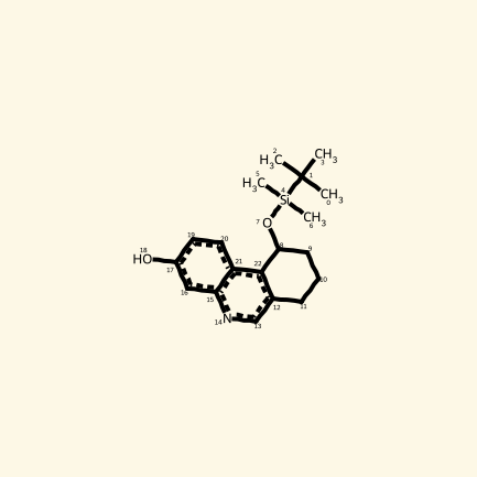 CC(C)(C)[Si](C)(C)OC1CCCc2cnc3cc(O)ccc3c21